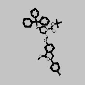 COC(=O)c1cc(OC[C@@H]2C[C@H](SC(c3ccccc3)(c3ccccc3)c3ccccc3)CN2C(=O)OC(C)(C)C)ccc1CCc1ccc(F)cc1